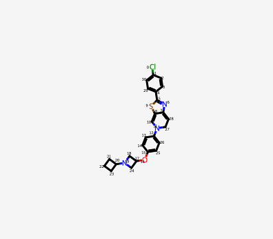 Clc1ccc(-c2nc3c(s2)=CN(c2ccc(OC4CN(C5CCC5)C4)cc2)CC=3)cc1